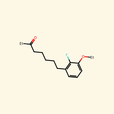 CCOc1cccc(CCCCCC(=O)CC)c1F